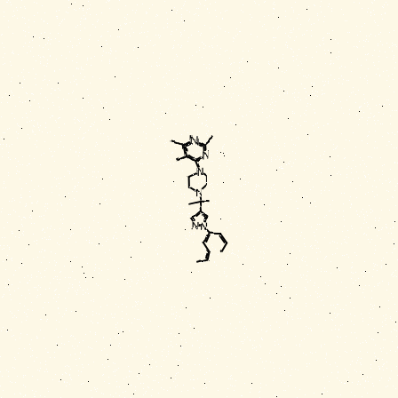 C\C=C/C=C(\C=C/C)n1cc(C(C)(C)N2CCN(c3nc(C)nc(C)c3C)CC2)cn1